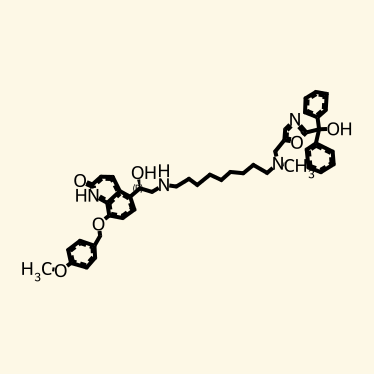 COc1ccc(COc2ccc([C@@H](O)CNCCCCCCCCCN(C)Cc3cnc(C(O)(c4ccccc4)c4ccccc4)o3)c3ccc(=O)[nH]c23)cc1